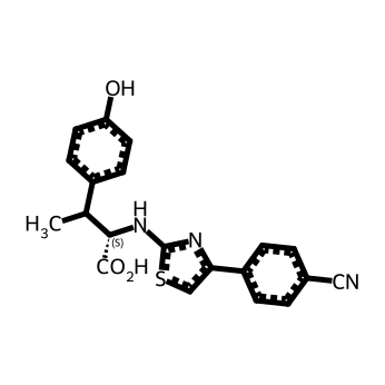 CC(c1ccc(O)cc1)[C@H](Nc1nc(-c2ccc(C#N)cc2)cs1)C(=O)O